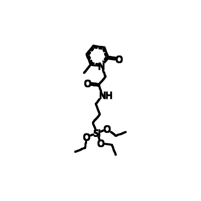 CCO[Si](CCCNC(=O)Cn1c(C)cccc1=O)(OCC)OCC